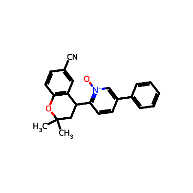 CC1(C)CC(c2ccc(-c3ccccc3)c[n+]2[O-])c2cc(C#N)ccc2O1